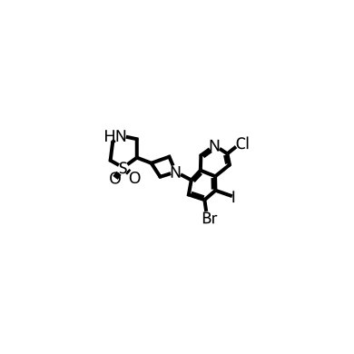 O=S1(=O)CCNCC1C1CN(c2cc(Br)c(I)c3cc(Cl)ncc23)C1